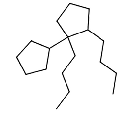 CCCCC1CCCC1(CCCC)C1CCCC1